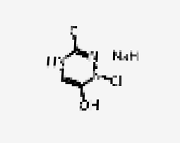 OC1=CNC(Cl)=NN1Cl.[NaH]